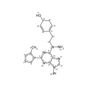 Cc1cscc1-c1nc(N(N)CCC2=CCC(O)C=C2)c2ncn(C(C)C)c2n1